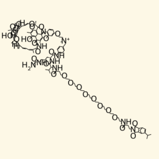 CO[C@H]1/C=C/O[C@@]2(C)Oc3c(C)c(O)c4c(=O)c(c5oc6cc(OCC[N+](C)(C)Cc7ccc(NC(=O)[C@H](CCCNC(N)=O)NC(=O)[C@@H](NC(=O)CCOCCOCCOCCOCCOCCOCCOCCOCCNC(=O)CCN8C(=O)C9C%10C=C(C(C)C)C(C%10)C9C8=O)C(C)C)cc7)ccc6nc-5c4c3C2=O)NC(=O)/C(C)=C\C=C\[C@H](C)[C@@H]2O[C@H]([C@H](O)[C@@H]2C)[C@H](OC(C)=O)[C@@H]1C